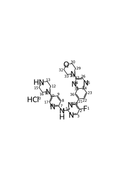 Cl.Fc1cnc(Nc2ccc(N3CCNCC3)cn2)nc1-c1ccc2ncc(N3CCOCC3)nc2c1